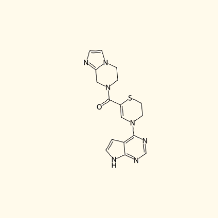 O=C(C1=CN(c2ncnc3[nH]ccc23)CCS1)N1CCn2ccnc2C1